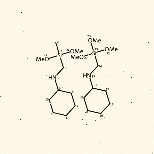 CO[Si](C)(CNC1CCCCC1)OC.CO[Si](CNC1CCCCC1)(OC)OC